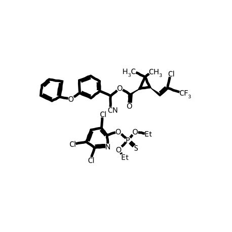 CC1(C)[C@H](C(=O)OC(C#N)c2cccc(Oc3ccccc3)c2)[C@@H]1/C=C(\Cl)C(F)(F)F.CCOP(=S)(OCC)Oc1nc(Cl)c(Cl)cc1Cl